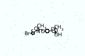 CCOC(CC(=O)O)c1ccc(OCc2nc(-c3ccc(Br)s3)oc2C)cc1